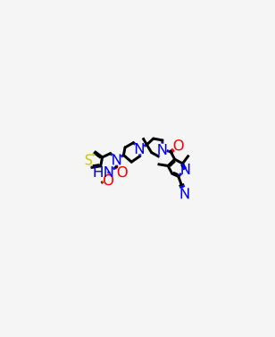 CONC(=O)N(Cc1ccsc1)C1CCN(C2(C)CCN(C(=O)c3c(C)cc(C#N)nc3C)CC2)CC1